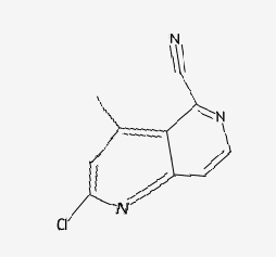 Cc1cc(Cl)nc2ccnc(C#N)c12